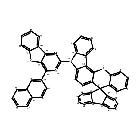 c1ccc2c(c1)Sc1c(ccc3c1c1ccccc1n3-c1nc(-c3ccc4ccccc4c3)c3sc4ccccc4c3n1)C21c2ccccc2-c2ccccc21